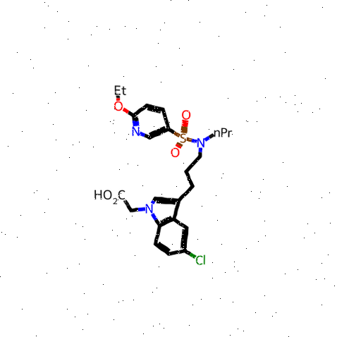 CCCN(CCCc1cn(CC(=O)O)c2ccc(Cl)cc12)S(=O)(=O)c1ccc(OCC)nc1